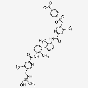 Cc1c(NC(=O)c2cc(C3CC3)c(CN[C@@H](C)CO)cn2)cccc1-c1cccc(NC(=O)c2cc(C3CC3)c(CS(=O)(=O)c3ccc([N+](=O)[O-])cc3)cn2)c1C